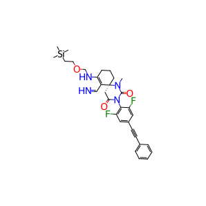 CN1C(=O)N(c2c(F)cc(C#Cc3ccccc3)cc2F)C(=O)C[C@]12CCCC(NCOCC[Si](C)(C)C)=C2C=N